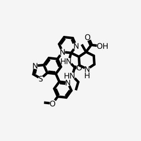 CCNC(=O)NC1(C2CNCCC2(C)C(=O)O)N=CC=CN1c1cc(-c2cc(OC)ccn2)c2scnc2c1